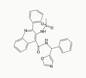 CS(=O)(=O)Nc1c(-c2ccccc2)nc2ccccc2c1C(=O)NC(c1ccccc1)c1cnco1